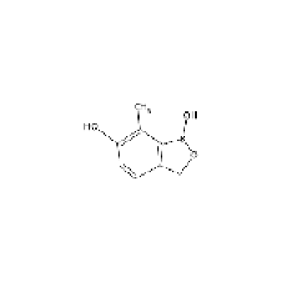 Cc1c(O)ccc2c1B(O)OC2